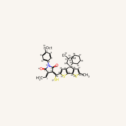 CC=C1C(=O)N(c2ccc(CCCCCCCC)cc2)C(=O)/C1=C(/S)c1cc2c(s1)-c1sc(C)cc1[Si]2(CC(CC)CCCC)C1CCCCC1